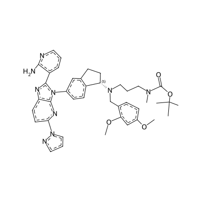 COc1ccc(CN(CCCN(C)C(=O)OC(C)(C)C)[C@H]2CCc3cc(-n4c(-c5cccnc5N)nc5ccc(-n6cccn6)nc54)ccc32)c(OC)c1